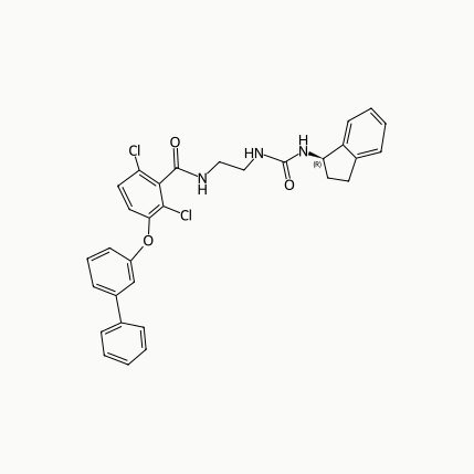 O=C(NCCNC(=O)c1c(Cl)ccc(Oc2cccc(-c3ccccc3)c2)c1Cl)N[C@@H]1CCc2ccccc21